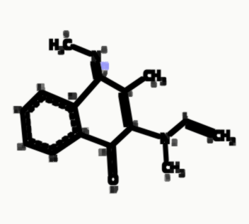 C=CN(C)C1=C(C)/C(=N/C)c2ccccc2C1=O